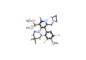 COc1c(F)cc(-c2c(CN3CCC3)nc(C)c([C@H](OC(C)(C)C)C(=O)O)c2N2CCC(C)(C)CC2)cc1F